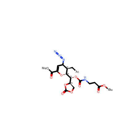 COC(=O)C1=CC(N=[N+]=[N-])[C@@H](CC(C)=O)[C@H]([C@H](OC(=O)NCCC(=O)OC(C)(C)C)[C@H]2COC(=O)O2)O1